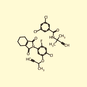 C#CC(C)(C)NC(=O)c1cc(Cl)cc(Cl)c1.C#CC(C)Oc1cc(N2C(=O)C3=C(CCCC3)C2=O)c(F)cc1Cl